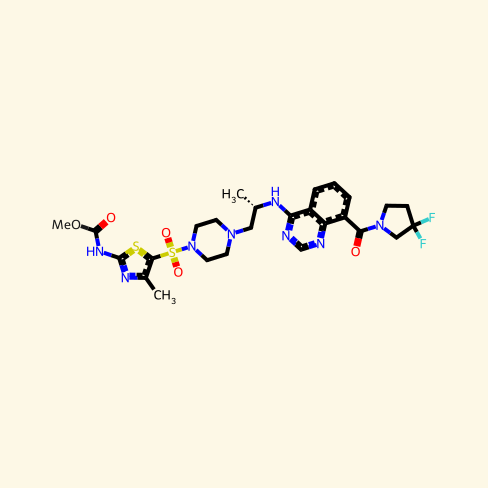 COC(=O)Nc1nc(C)c(S(=O)(=O)N2CCN(C[C@H](C)Nc3ncnc4c(C(=O)N5CCC(F)(F)C5)cccc34)CC2)s1